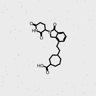 O=C1CCC(N2Cc3c(CCC4CCCC(C(=O)O)CC4)cccc3C2=O)C(=O)N1